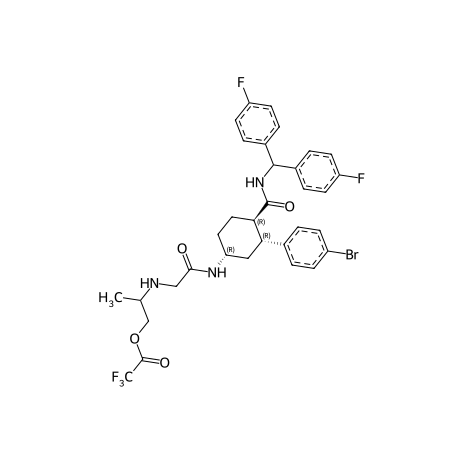 CC(COC(=O)C(F)(F)F)NCC(=O)N[C@@H]1CC[C@@H](C(=O)NC(c2ccc(F)cc2)c2ccc(F)cc2)[C@H](c2ccc(Br)cc2)C1